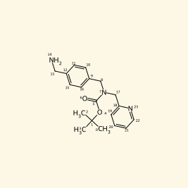 CC(C)(C)OC(=O)N(Cc1ccc(CN)cc1)Cc1ccccn1